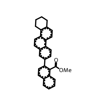 COC(=O)c1c(-c2ccc3c(ccc4c5c(ccc43)CCCC5)c2)ccc2ccccc12